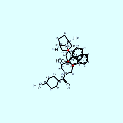 Cc1nc2ccccc2n1C1C[C@H]2CC[C@@H](C1)N2CCC1(c2ccccc2)CCN(C(=O)C2CCC(C)CC2)CC1